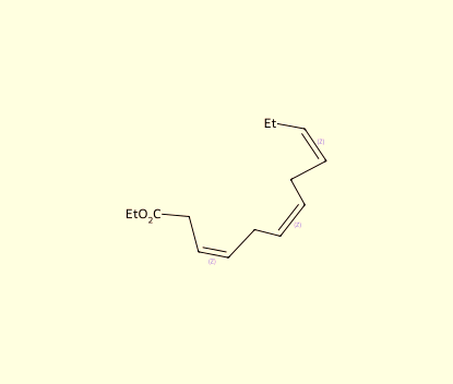 CC/C=C\C/C=C\C/C=C\CC(=O)OCC